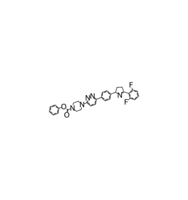 O=C(Oc1ccccc1)N1CCN(c2ccc(-c3ccc(C4CCC(c5c(F)cccc5F)=N4)cc3)nn2)CC1